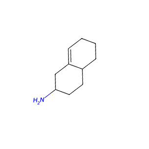 NC1CCC2CCCC=C2C1